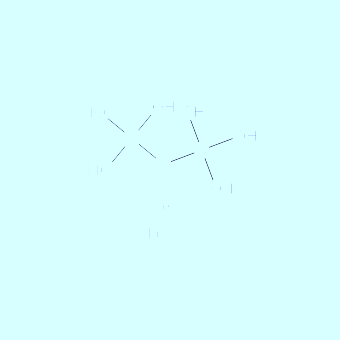 O[Si](O)(O)O[Si](O)(O)O.[Ce].[Lu]